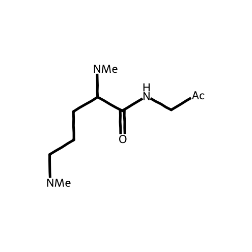 CNCCCC(NC)C(=O)NCC(C)=O